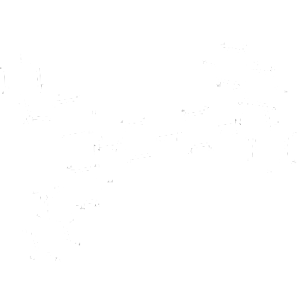 C1=c2oc3ccccc3c2=CCC1N(c1ccc(-c2ccc(-n3c4ccccc4c4ccc5ccccc5c43)cc2)cc1)c1ccc2c(c1)oc1ccccc12